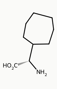 N[C@H](C(=O)O)C1CCCCCC1